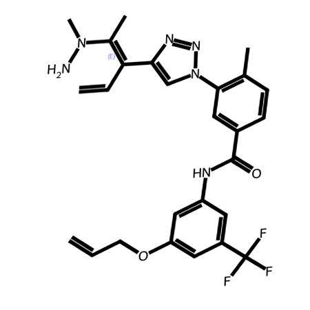 C=CCOc1cc(NC(=O)c2ccc(C)c(-n3cc(/C(C=C)=C(\C)N(C)N)nn3)c2)cc(C(F)(F)F)c1